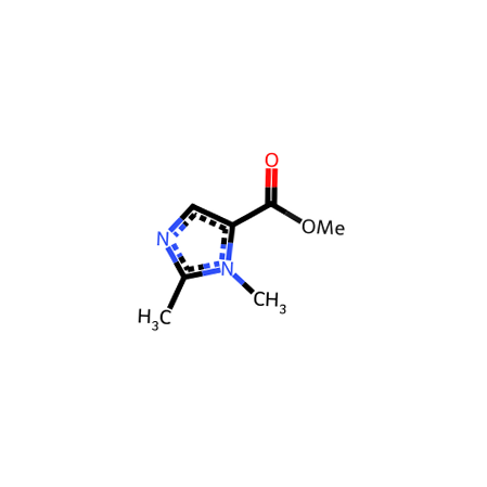 COC(=O)c1cnc(C)n1C